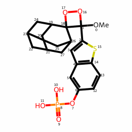 COC1(c2cc3cc(OP(=O)(O)O)ccc3s2)OOC12C1CC3CC(C1)CC2C3